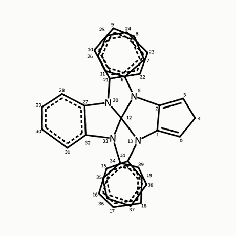 C1=C2C(=CC1)N(c1ccccc1)C1(N2c2ccccc2)N(c2ccccc2)c2ccccc2N1c1ccccc1